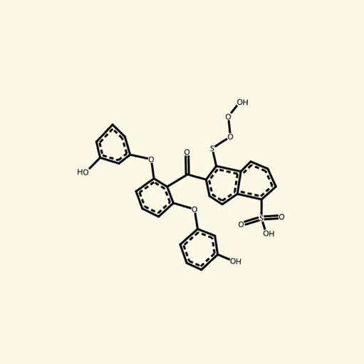 O=C(c1ccc2c(S(=O)(=O)O)cccc2c1SOOO)c1c(Oc2cccc(O)c2)cccc1Oc1cccc(O)c1